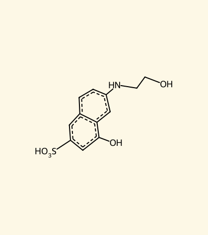 O=S(=O)(O)c1cc(O)c2cc(NCCO)ccc2c1